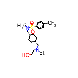 CCN(CCO)C[C@H]1CC[C@H](CN(C)S(=O)(=O)c2ccc(C(F)(F)F)cc2)CC1